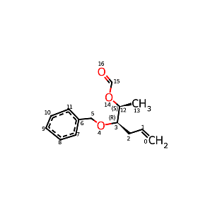 C=CC[C@@H](OCc1ccccc1)[C@H](C)OC=O